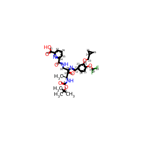 C[C@H](NC(=O)OC(C)(C)C)c1oc(-c2ccc(OC(F)F)c(OCC3CC3)c2)nc1CNC(=O)c1cccc(C(=O)O)n1